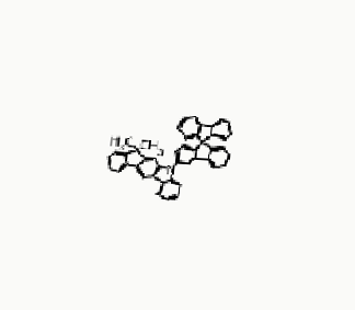 CC1(C)c2ccccc2-c2cc3c4ccccc4n(-c4ccc5c(c4)-c4ccccc4C54c5ccccc5-c5ccccc54)c3cc21